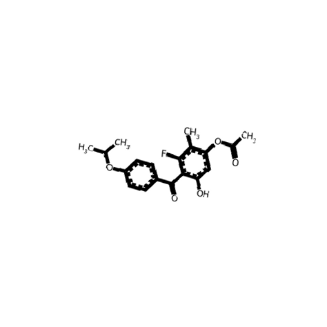 CC(=O)Oc1cc(O)c(C(=O)c2ccc(OC(C)C)cc2)c(F)c1C